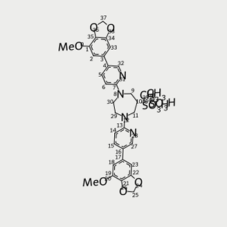 COc1cc(-c2ccc(N3CCCN(c4ccc(-c5cc(OC)c6c(c5)OCO6)cn4)CC3)nc2)cc2c1OCO2.CS(=O)(=O)O.CS(=O)(=O)O